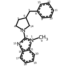 Cn1c(N2CCC(Cc3ccccc3)C2)nc2ccccc21